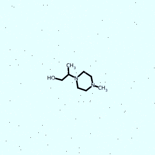 CC(CO)N1CCN(C)CC1